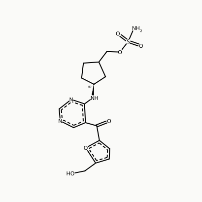 NS(=O)(=O)OCC1CC[C@H](Nc2ncncc2C(=O)c2ccc(CO)o2)C1